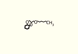 CCCCCCOCC1COc2ccccc2O1